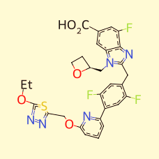 CCOc1nnc(COc2cccc(-c3cc(F)c(Cc4nc5c(F)cc(C(=O)O)cc5n4C[C@@H]4CCO4)cc3F)n2)s1